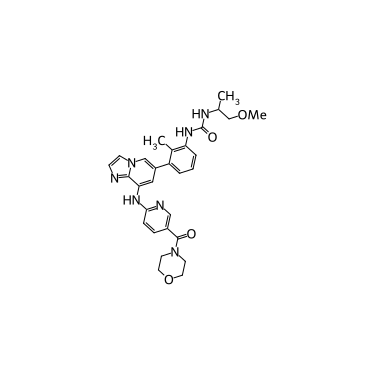 COCC(C)NC(=O)Nc1cccc(-c2cc(Nc3ccc(C(=O)N4CCOCC4)cn3)c3nccn3c2)c1C